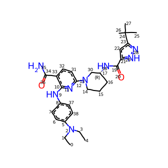 CCN(CC)c1ccc(Nc2nc(N3CCC[C@@H](NC(=O)c4cc(C(C)(C)C)n[nH]4)C3)ccc2C(N)=O)cc1